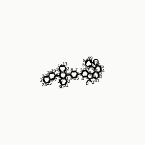 CC1(C)c2cc(-c3ccc(-c4c5ccccc5c(-c5ccc6ccccc6c5)c5ccccc45)cc3)ccc2-c2c1ccc1ccc3oc4ccccc4c3c21